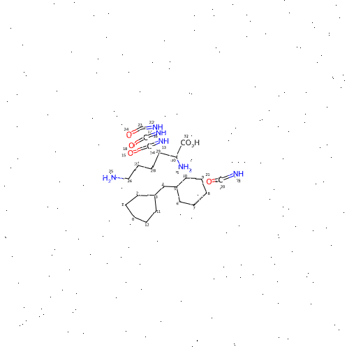 C1CCC(CC2CCCCC2)CC1.N=C=O.N=C=O.N=C=O.N=C=O.NCCCCC(N)C(=O)O